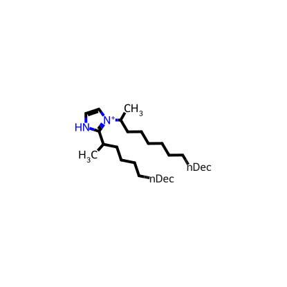 CCCCCCCCCCCCCCCCC(C)[n+]1cc[nH]c1C(C)CCCCCCCCCCCCCC